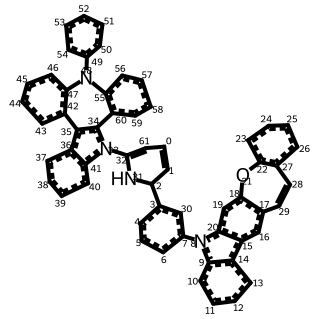 C1=CC(c2cccc(-n3c4ccccc4c4cc5c(cc43)Oc3ccccc3C=C5)c2)NC(n2c3c(c4ccccc42)-c2ccccc2N(c2ccccc2)c2ccccc2-3)=C1